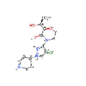 Cl.O=C(O)[C@H](O)[C@H]1OCCN(c2ccn(-c3ccncc3)n2)C1=O